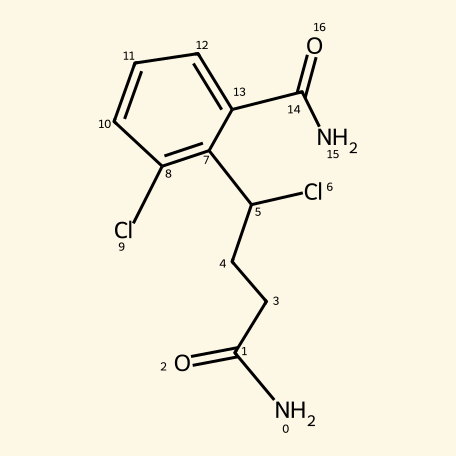 NC(=O)CCC(Cl)c1c(Cl)cccc1C(N)=O